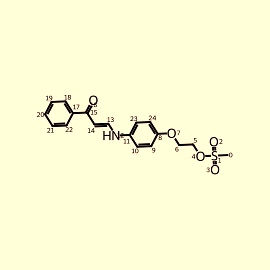 CS(=O)(=O)OCCOc1ccc(NC=CC(=O)c2ccccc2)cc1